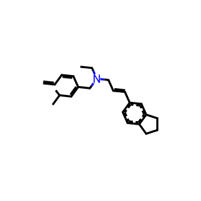 C=C/C=C\C(=C/C(C)C)CN(CC)C/C=C/c1ccc2c(c1)CCC2